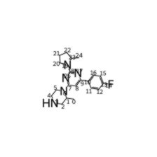 CC1CNCCN1c1cc(-c2ccc(F)cc2)nc(N2CCCC2C)n1